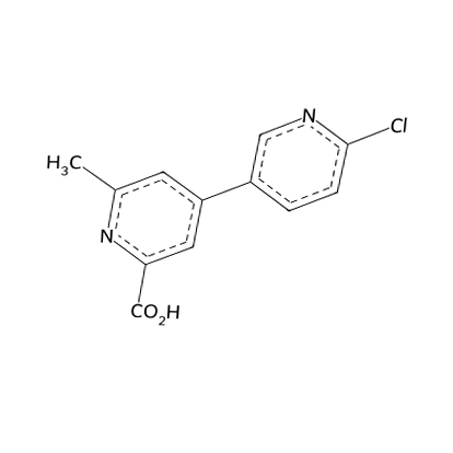 Cc1cc(-c2ccc(Cl)nc2)cc(C(=O)O)n1